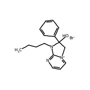 CCCCN1c2nccc[n+]2CC1(O)c1ccccc1.[Br-]